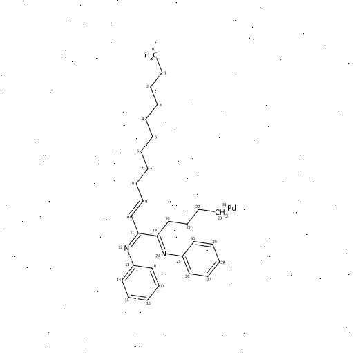 CCCCCCCCCC=CC(=Nc1ccccc1)C(CCCC)=Nc1ccccc1.[Pd]